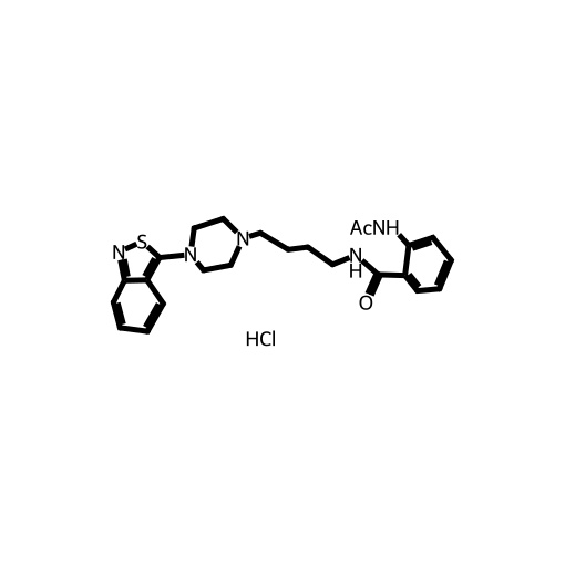 CC(=O)Nc1ccccc1C(=O)NCCCCN1CCN(c2snc3ccccc23)CC1.Cl